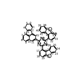 C1=CC2=C(CC1)c1cccc3cc(-c4nc(-c5cccc6oc7ccccc7c56)nc(-c5ccnc6oc7ccccc7c56)n4)cc2c13